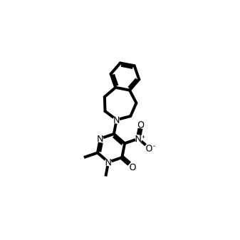 Cc1nc(N2CCc3ccccc3CC2)c([N+](=O)[O-])c(=O)n1C